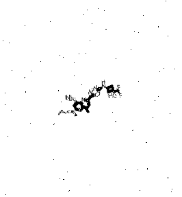 CC(=O)N(C)c1cc(C(C)(C)C)c2nc(-c3nnc(N[C@H]4C[C@](O)(C(F)F)C4)o3)cc(C)c2c1